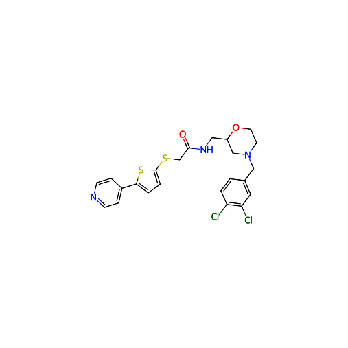 O=C(CSc1ccc(-c2ccncc2)s1)NCC1CN(Cc2ccc(Cl)c(Cl)c2)CCO1